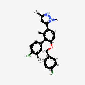 Cc1c(-c2cc(C#N)nn2C)ccc(OCc2ccc(Cl)cc2)c1-c1ccc(Cl)c(C(F)(F)F)c1